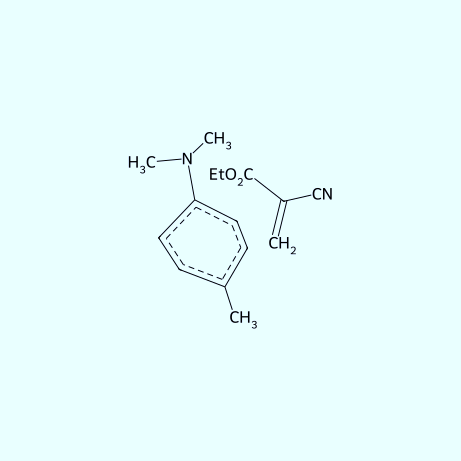 C=C(C#N)C(=O)OCC.Cc1ccc(N(C)C)cc1